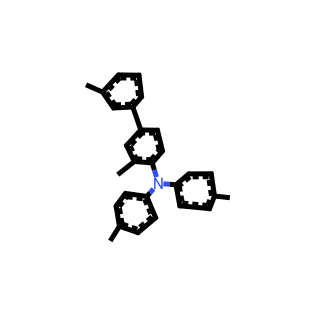 Cc1ccc(N(c2ccc(C)cc2)c2ccc(-c3cccc(C)c3)cc2C)cc1